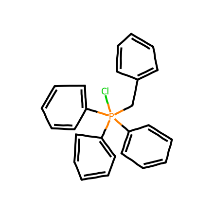 ClP(Cc1ccccc1)(c1ccccc1)(c1ccccc1)c1ccccc1